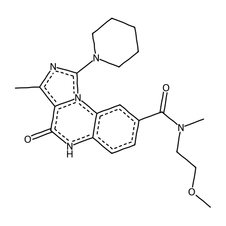 COCCN(C)C(=O)c1ccc2[nH]c(=O)c3c(C)nc(N4CCCCC4)n3c2c1